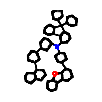 c1ccc(C2(c3ccccc3)c3ccccc3-c3c(N(c4ccc(-c5cccc6c5oc5ccccc56)cc4)c4cccc(-c5cccc(-c6cccc7ccccc67)c5)c4)cccc32)cc1